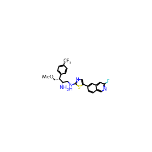 COC[C@H](c1ccc(C(F)(F)F)cc1)[C@@H](N)CNc1ncc(-c2ccc3cnc(F)cc3c2)s1